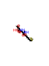 CNC(CCC(=O)NC(CCC(C)=O)C(=O)O)C(=O)OCCCCCC1CCSS1